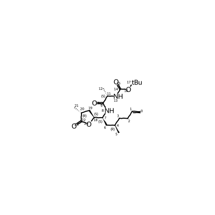 C=CCC[C@@H](C)C[C@H](NC(=O)[C@H](C)NC(=O)OC(C)(C)C)[C@@H]1C[C@@H](C)C(=O)O1